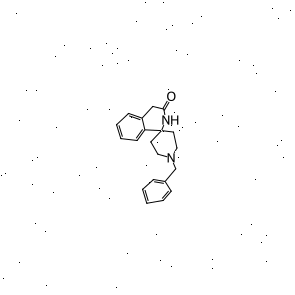 O=C1Cc2ccccc2C2(CCN(Cc3ccccc3)CC2)N1